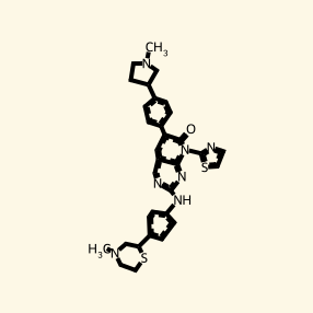 CN1CCC(c2ccc(-c3cc4cnc(Nc5ccc(C6CN(C)CCS6)cc5)nc4n(-c4nccs4)c3=O)cc2)C1